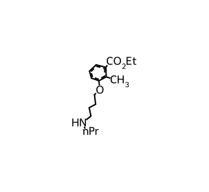 CCCNCCCCOc1cccc(C(=O)OCC)c1C